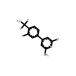 Nc1cc(-c2ccc(C(F)(F)C(F)(F)F)c(F)c2)cc(Cl)n1